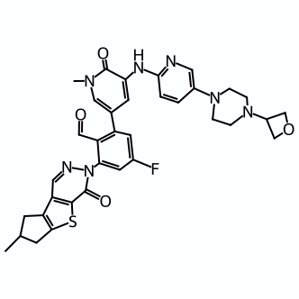 CC1Cc2sc3c(=O)n(-c4cc(F)cc(-c5cc(Nc6ccc(N7CCN(C8COC8)CC7)cn6)c(=O)n(C)c5)c4C=O)ncc3c2C1